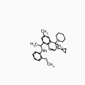 C=C(c1cc(C)cc(C(C)Nc2ccccc2SC)c1/N=C\NC1CC1)N1CCCCC1